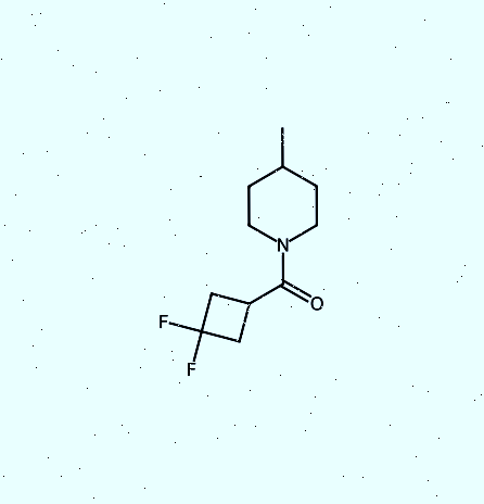 CC1CCN(C(=O)C2CC(F)(F)C2)CC1